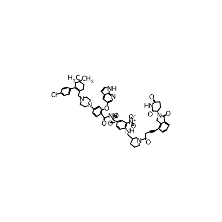 CC1(C)CCC(CN2CCN(c3ccc(C(=O)NS(=O)(=O)c4ccc(NCC5CCCN(C(=O)CC#Cc6cccc7c6CN(C6CCC(=O)NC6=O)C7=O)C5)c([N+](=O)[O-])c4)c(Oc4cnc5[nH]ccc5c4)c3)CC2)=C(c2ccc(Cl)cc2)C1